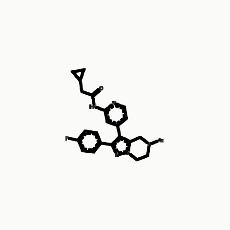 CC(=O)N1CCn2nc(-c3ccc(F)cc3)c(-c3ccnc(NC(=O)CC4CC4)c3)c2C1